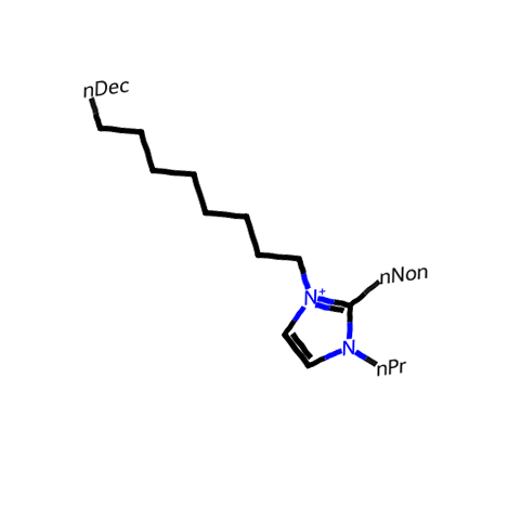 CCCCCCCCCCCCCCCCCC[n+]1ccn(CCC)c1CCCCCCCCC